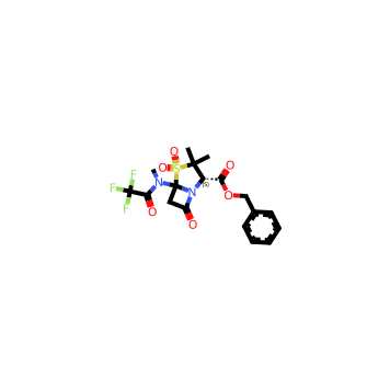 CN(C(=O)C(F)(F)F)C12CC(=O)N1[C@@H](C(=O)OCc1ccccc1)C(C)(C)S2(=O)=O